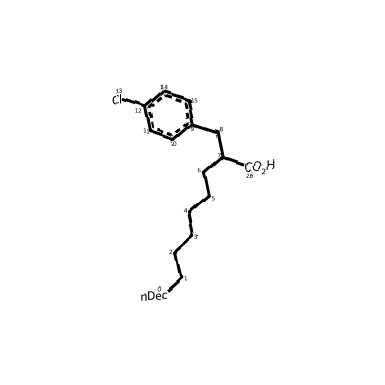 CCCCCCCCCCCCCCCCC(Cc1ccc(Cl)cc1)C(=O)O